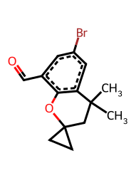 CC1(C)CC2(CC2)Oc2c(C=O)cc(Br)cc21